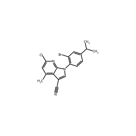 Cc1cc(Cl)nc2c1c(C#N)cn2-c1ccc(C(C)C)cc1Br